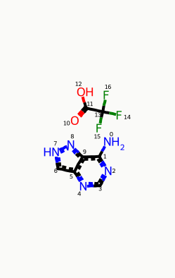 Nc1ncnc2c[nH]nc12.O=C(O)C(F)(F)F